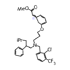 COC(=O)/C=C1\C=CC=C(OCCCN(Cc2cccc(C(F)(F)F)c2Cl)CC(CC(C)C)c2ccccc2)C1